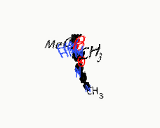 COC1(C(=O)NC(=O)Nc2ccc(Oc3ccnc(-c4ccc(C5CCN(C)CC5)cc4)c3)c(C)n2)CC1